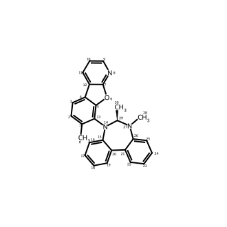 Cc1ccc2c(oc3ncccc32)c1N1c2ccccc2-c2ccccc2N(C)[C@@H]1C